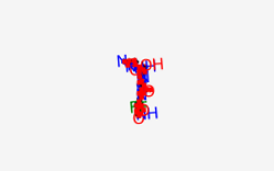 COC[C@H]1CN(CCc2cc(F)c([C@H]3CCC(=O)NC3=O)c(F)c2)CCN1C1CCC(n2cc3cc(NC(=O)c4ccc5cc(C#N)cnn45)c(C(C)(C)O)cc3n2)CC1